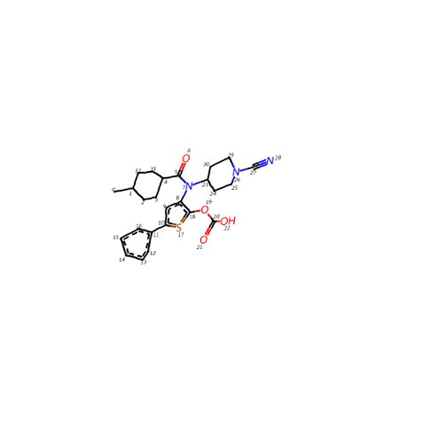 CC1CCC(C(=O)N(c2cc(-c3ccccc3)sc2OC(=O)O)C2CCN(C#N)CC2)CC1